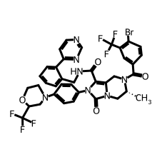 C[C@@H]1Cn2c(c(C(=O)NCc3ccccc3-c3ccncn3)n(-c3ccc(N4CCOC(C(F)(F)F)C4)cc3)c2=O)CN1C(=O)c1ccc(Br)c(C(F)(F)F)c1